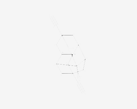 C#CC12CC3C4CC5(C#C)CC3C(C1)C(Br)(C5)C4C2